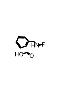 FNCc1ccccc1.O=CO